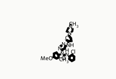 COc1ccc(N(C(=O)Nc2ccccc2Cl)c2cc(Nc3ccc(N4CCN(C)CC4)cc3)ncn2)c(C)c1